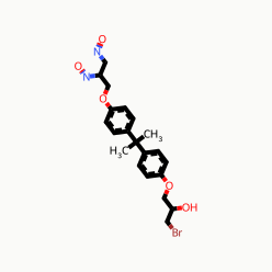 CC(C)(c1ccc(OCC(O)CBr)cc1)c1ccc(OCC(CN=O)N=O)cc1